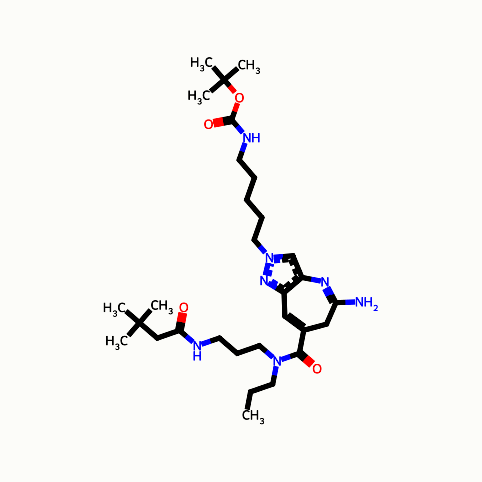 CCCN(CCCNC(=O)CC(C)(C)C)C(=O)C1=Cc2nn(CCCCCNC(=O)OC(C)(C)C)cc2N=C(N)C1